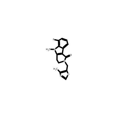 Cc1ncoc1CN1CCc2c(c3cccc(F)c3n2C)C1=O